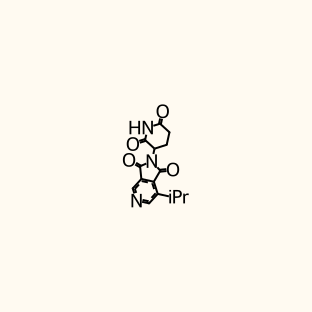 CC(C)c1cncc2c1C(=O)N(C1CCC(=O)NC1=O)C2=O